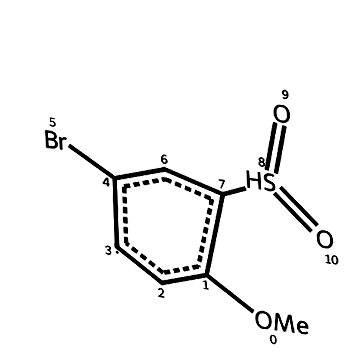 COc1c[c]c(Br)cc1[SH](=O)=O